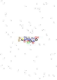 O=C(NCc1cccc(O)c1)c1ccc(C(=O)N[C@@H](CNC(=O)c2cc(Br)c(Br)s2)C(=O)O)c(Cl)c1